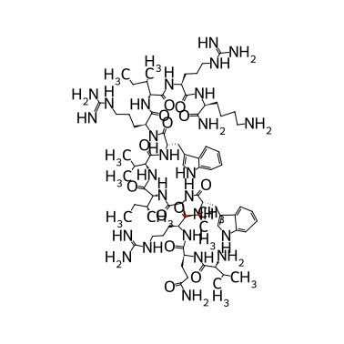 CC[C@H](C)[C@H](NC(=O)[C@H](CCCNC(=N)N)NC(=O)[C@H](Cc1c[nH]c2ccccc12)NC(=O)[C@@H](NC(=O)[C@@H](NC(=O)[C@H](CC(C)C)NC(=O)[C@H](Cc1c[nH]c2ccccc12)NC(=O)[C@H](CCCNC(=N)N)NC(=O)[C@H](CCC(N)=O)NC(=O)[C@@H](N)C(C)C)[C@@H](C)CC)C(C)C)C(=O)N[C@@H](CCCNC(=N)N)C(=O)N[C@@H](CCCCN)C(N)=O